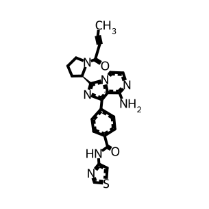 CC#CC(=O)N1CCC[C@@H]1c1nc(-c2ccc(C(=O)Nc3cscn3)cc2)c2c(N)nccn12